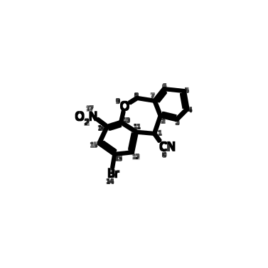 N#CC1c2ccccc2COc2c1cc(Br)cc2[N+](=O)[O-]